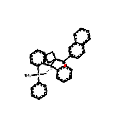 CC(C)(C)[Si](C[C@]1(c2ccccc2)CC2CC1(C(=O)c1ccc3ccccc3c1)C2)(c1ccccc1)c1ccccc1